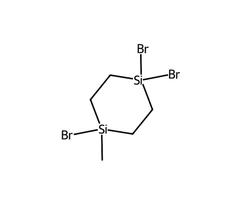 C[Si]1(Br)CC[Si](Br)(Br)CC1